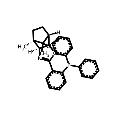 CC1(C)[C@@H]2CC[C@]1(C)[C@@H]1N=C(c3ccccc3P(c3ccccc3)c3ccccc3)O[C@H]21